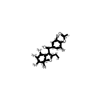 [2H]c1c([2H])c([2H])c2c(C(=O)c3cc(Br)c(OC(C)=O)c(Br)c3)c(CC)oc2c1[2H]